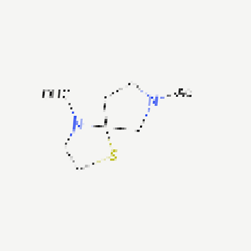 CC(=O)N1CCC2(C1)SCCN2C=O